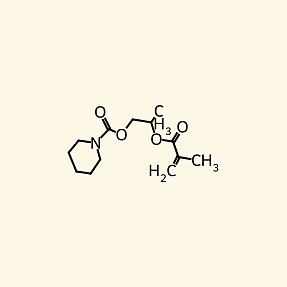 C=C(C)C(=O)OC(C)COC(=O)N1CCCCC1